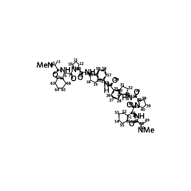 CNC(C)C(=O)NC(C(=O)N1CCC[C@H]1C(=O)N[C@@H]1CCc2c(NC(=O)c3cccc4c3CC[C@H]4NC(=O)[C@@H]3CCCN3C(=O)C(NC(=O)C(C)NC)C3CCCCC3)cccc21)C1CCCCC1